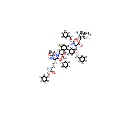 CC(C)(C)OC(=O)N[C@@H](CCCNC(=O)OCc1ccccc1)C(=O)N[C@@H](Cc1cc(-c2ccc(OCc3ccccc3)c(C[C@H](NC(=O)OCc3ccccc3)C(=O)OCC[Si](C)(C)C)c2)ccc1F)C(=O)OCc1ccccc1